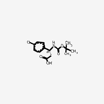 CC(C)(C)OC(=O)N[C@H](CC(=O)O)c1ccc(Cl)cc1